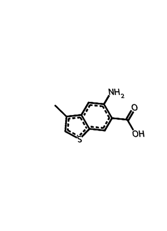 Cc1csc2cc(C(=O)O)c(N)cc12